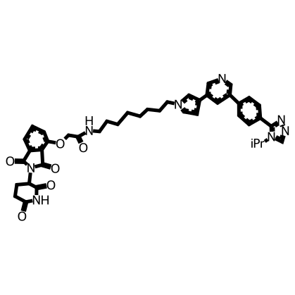 CC(C)n1cnnc1-c1ccc(-c2cncc(-c3ccn(CCCCCCCCNC(=O)COc4cccc5c4C(=O)N(C4CCC(=O)NC4=O)C5=O)c3)c2)cc1